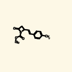 Cc1ccc(/C=C/C2CC(=O)N2C(=O)OC(C)(C)C)cc1